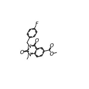 COC(=O)c1ccc2c(c1)c(=O)n(Cc1ccc(F)cc1)c(=O)n2C